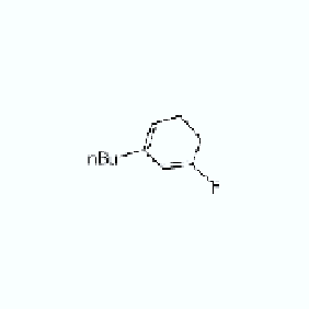 CCCCC1=CCCC(F)=C1